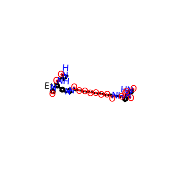 CCN(c1cc(-c2ccc(CN3CCN(C(=O)CCOCCOCCOCCOCCOCCOCCC(=O)NCCCOc4cccc5c4C(=O)N(C4CCC(=O)NC4=O)C5=O)CC3)cc2)cc(C(=O)NCc2c(C)cc(C)[nH]c2=O)c1C)C1CCOCC1